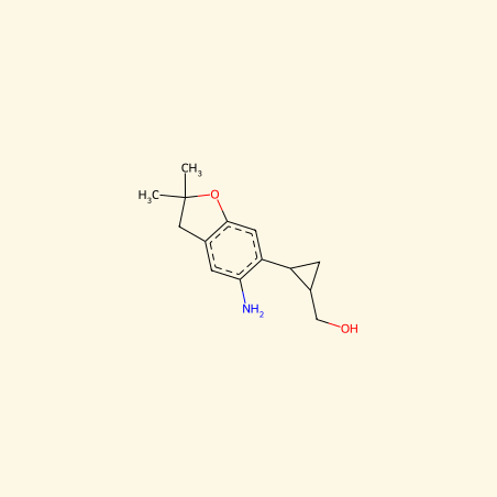 CC1(C)Cc2cc(N)c(C3CC3CO)cc2O1